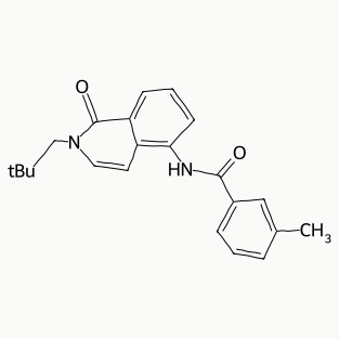 Cc1cccc(C(=O)Nc2cccc3c(=O)n(CC(C)(C)C)ccc23)c1